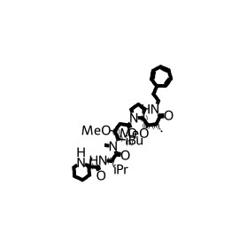 CC[C@H](C)[C@@H]([C@@H](CC(=O)N1CCC[C@H]1[C@H](OC)[C@@H](C)C(=O)NCCC1C=CC=CC=C1)OC)N(C)C(=O)[C@@H](NC(=O)[C@]1(C)CCCCN1)C(C)C